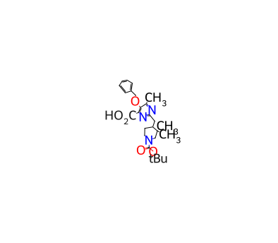 Cc1nc(CC2CCN(C(=O)OC(C)(C)C)CC2(C)C)nc(C(=O)O)c1OCc1ccccc1